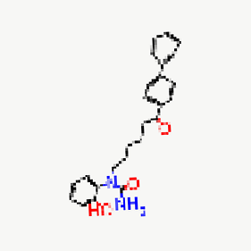 NC(=O)N(CCCCCC(=O)c1ccc(-c2ccccc2)cc1)c1ccccc1O